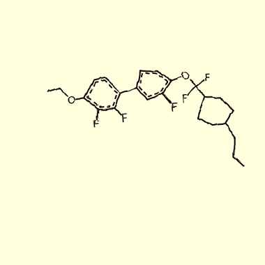 CCCC1CCC(C(F)(F)Oc2ccc(-c3ccc(OCC)c(F)c3F)cc2F)CC1